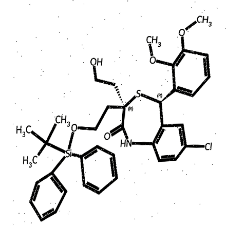 COc1cccc([C@@H]2S[C@](CCO)(CCO[Si](c3ccccc3)(c3ccccc3)C(C)(C)C)C(=O)Nc3ccc(Cl)cc32)c1OC